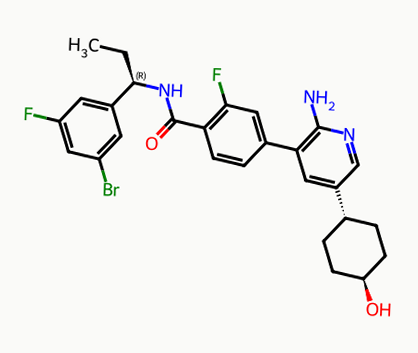 CC[C@@H](NC(=O)c1ccc(-c2cc([C@H]3CC[C@H](O)CC3)cnc2N)cc1F)c1cc(F)cc(Br)c1